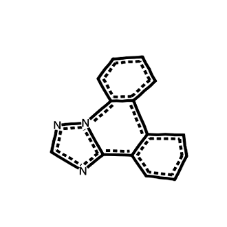 c1ccc2c(c1)c1ccccc1n1ncnc21